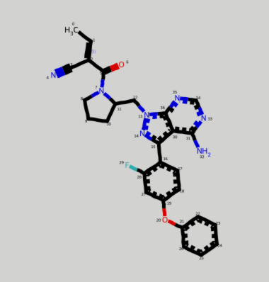 C/C=C(\C#N)C(=O)N1CCCC1Cn1nc(-c2ccc(Oc3ccccc3)cc2F)c2c(N)ncnc21